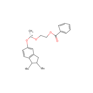 C[C@H](OCCOC(=O)c1ccccc1)Oc1ccc2c(c1)CC(C(C)(C)C)C2C(C)(C)C